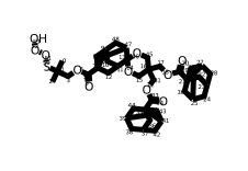 CC(C)(COC(=O)C12CC3CC(C1)C1(OCC(COC(=O)C45CC6CC(CC(C6)C4)C5)(COC(=O)C45CC6CC(CC(C6)C4)C5)CO1)C(C3)C2)SOOO